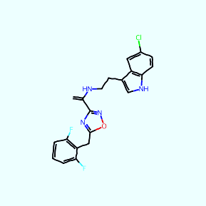 C=C(NCCc1c[nH]c2ccc(Cl)cc12)c1noc(Cc2c(F)cccc2F)n1